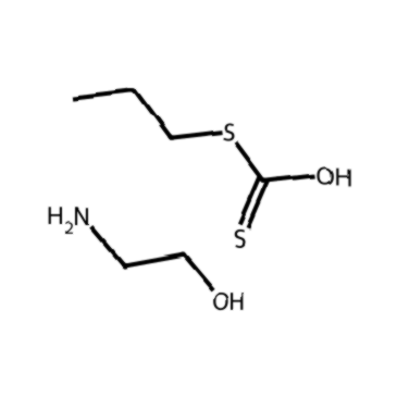 CCCSC(O)=S.NCCO